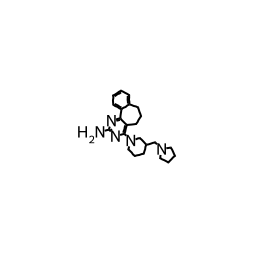 Nc1nc2c(c(N3CCCC(CN4CCCC4)C3)n1)CCCc1ccccc1-2